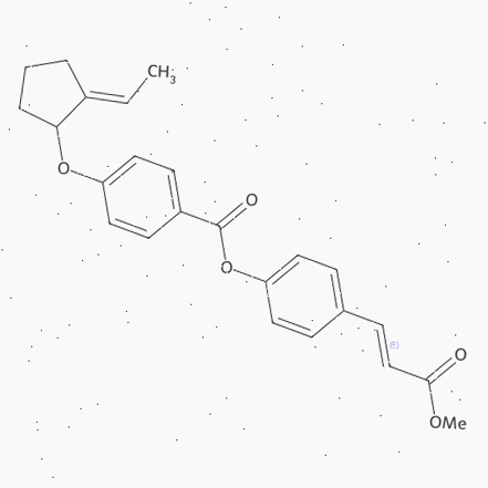 CC=C1CCCC1Oc1ccc(C(=O)Oc2ccc(/C=C/C(=O)OC)cc2)cc1